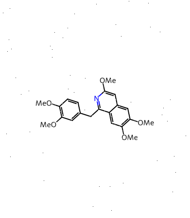 COc1cc2cc(OC)c(OC)cc2c(Cc2ccc(OC)c(OC)c2)n1